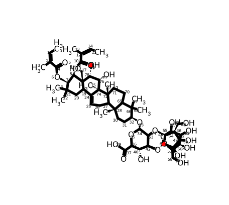 C/C=C(/C)C(=O)O[C@H]1[C@H](OC(=O)/C(C)=C\C)[C@@]2(CO)C(CC1(C)C)C1=CCC3[C@@]4(C)CC[C@H](O[C@@H]5OC(C(=O)O)[C@@H](O)C(O[C@@H]6O[C@@H](CO)C(O)C6O)C5O[C@@H]5OC(CO)[C@H](O)C(O)C5O)C(C)(C)C4CC[C@@]3(C)[C@]1(C)[C@@H](O)[C@H]2O